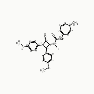 CSc1ccc(C2C(N(I)C(=O)NC3=CC=CC(C)C=C3)C(=O)N2c2ccc(SC)cc2)cc1